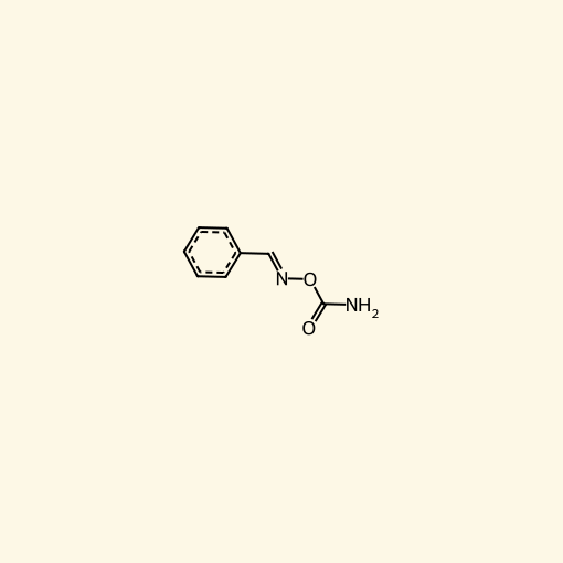 NC(=O)ON=Cc1ccccc1